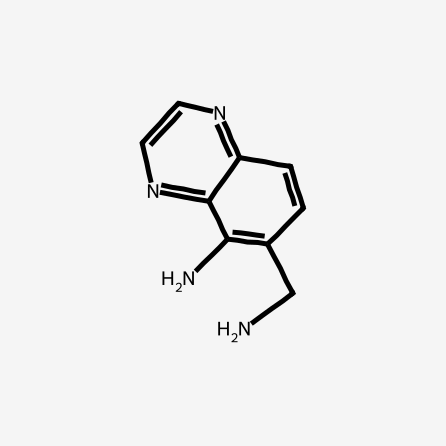 NCc1ccc2nccnc2c1N